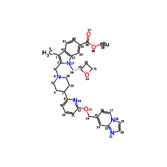 Cc1c(CN2CCC(c3cccc(OCc4ccn5ccnc5c4)n3)CC2)n(C[C@@H]2CCO2)c2cc(C(=O)OC(C)(C)C)ccc12